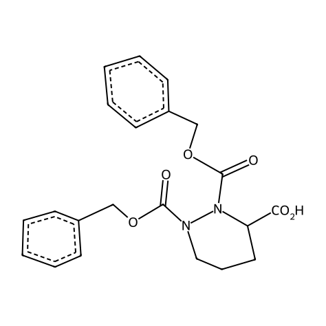 O=C(O)C1CCCN(C(=O)OCc2ccccc2)N1C(=O)OCc1ccccc1